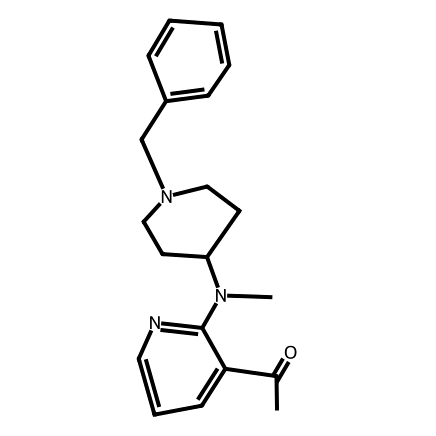 CC(=O)c1cccnc1N(C)C1CCN(Cc2ccccc2)CC1